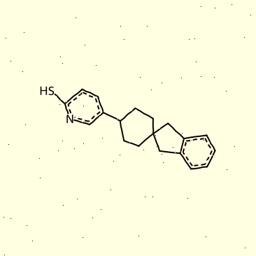 Sc1ccc(C2CCC3(CC2)Cc2ccccc2C3)cn1